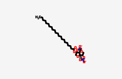 CCCCCCCCCCCCCCCCCCCCCC(=O)O[C@@]1(O[N+](=O)[O-])CO[C@@H]2[C@H](O[N+](=O)[O-])CO[C@@H]21